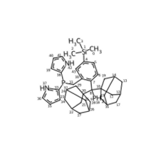 C[Si](C)(C)c1ccc(C(P)(C23CC4CC(CC(C4)C2)C3)C23CC4CC(CC(C4)C2)C3)c(CP(c2ccc[nH]2)c2ccc[nH]2)c1